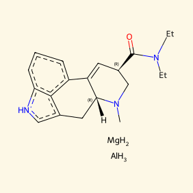 CCN(CC)C(=O)[C@@H]1C=C2c3cccc4[nH]cc(c34)C[C@H]2N(C)C1.[AlH3].[MgH2]